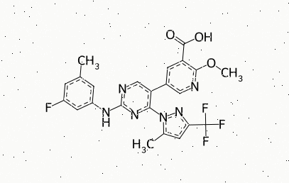 COc1ncc(-c2cnc(Nc3cc(C)cc(F)c3)nc2-n2nc(C(F)(F)F)cc2C)cc1C(=O)O